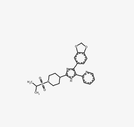 CC(C)S(=O)(=O)N1CCC(c2nc(-c3ccc4c(c3)OCO4)c(-c3ccccn3)[nH]2)CC1